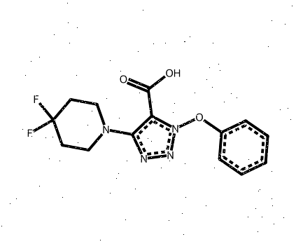 O=C(O)c1c(N2CCC(F)(F)CC2)nnn1Oc1ccccc1